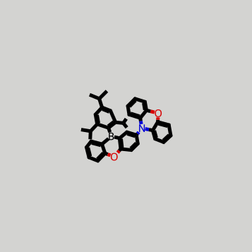 CC(C)c1cc(C(C)C)c(B2c3ccccc3Oc3ccc(N4c5ccccc5Oc5ccccc54)cc32)c(C(C)C)c1